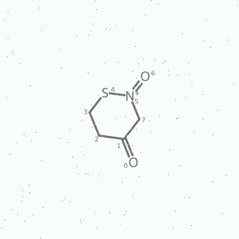 O=C1CCS[N+](=O)C1